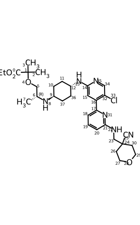 CCOC(=O)C(C)(C)OC[C@@H](C)N[C@H]1CC[C@H](Nc2cc(-c3cccc(NCC4(C#N)CCOCC4)n3)c(Cl)cn2)CC1